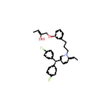 CC=C(O)COc1cccc(CCCN2C=C(C(c3ccc(F)cc3)c3ccc(F)cc3)C=CC2=CC)c1